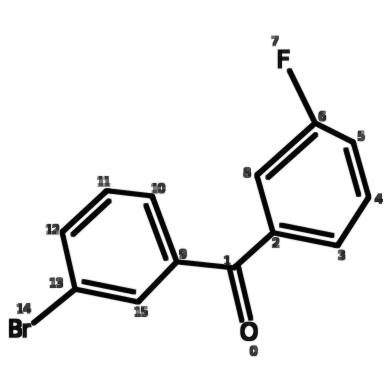 O=C(c1cccc(F)c1)c1cccc(Br)c1